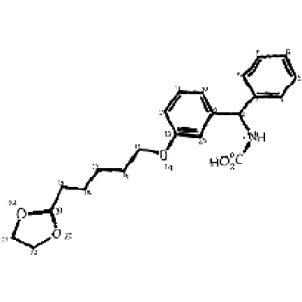 O=C(O)NC(c1ccccc1)c1cccc(OCCCCCC2OCCO2)c1